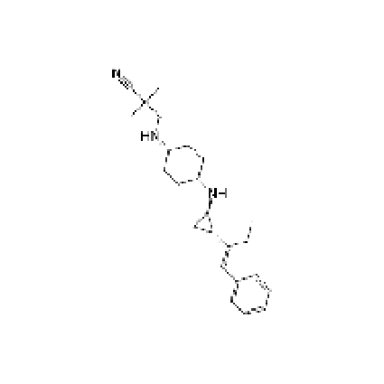 CC/C(=C\c1ccccc1)[C@@H]1C[C@H]1N[C@H]1CC[C@@H](NCC(C)(C)C#N)CC1